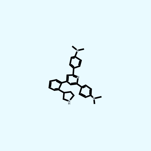 CN(C)c1ccc(-c2cc(-c3ccccc3C3CCNC3)cc(-c3ccc(N(C)C)cc3)n2)cc1